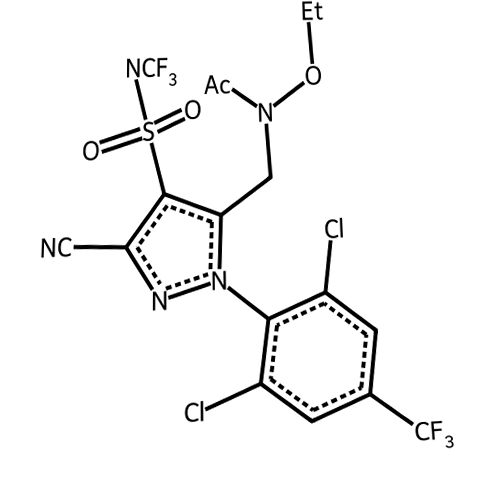 CCON(Cc1c(S(=O)(=O)NC(F)(F)F)c(C#N)nn1-c1c(Cl)cc(C(F)(F)F)cc1Cl)C(C)=O